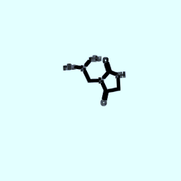 CCCCN(CCCC)CN1C(=O)CNC1=O